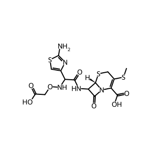 CSC1=C(C(=O)O)N2C(=O)C(NC(=O)C(NOCC(=O)O)c3csc(N)n3)[C@@H]2SC1